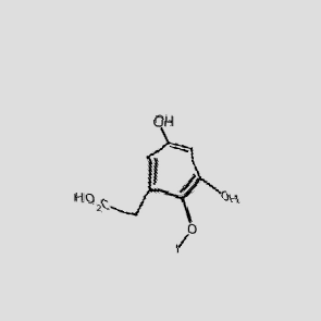 O=C(O)Cc1cc(O)cc(O)c1OI